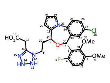 COc1ccc(F)c([C@@H]2O[C@@H](CCN3NNN=C3CC(=O)O)c3cccn3-c3ccc(Cl)cc32)c1OC